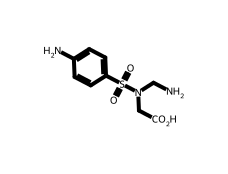 NCN(CC(=O)O)S(=O)(=O)c1ccc(N)cc1